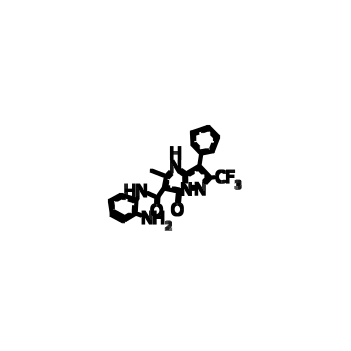 Cc1[nH]c2c(-c3ccccc3)c(C(F)(F)F)nn2c(=O)c1C(=O)Nc1ccc#cc1N